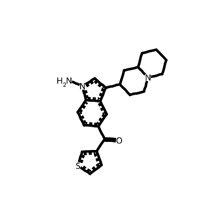 Nn1cc(C2CCN3CCCCC3C2)c2cc(C(=O)c3ccsc3)ccc21